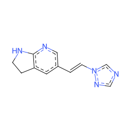 C(=C\n1cncn1)/c1cnc2c(c1)CCN2